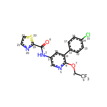 O=C(Nc1cnc(OCC(F)(F)F)c(-c2ccc(Cl)cc2)c1)c1nccs1